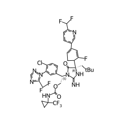 CC(C)(C)C[C@]1(C2CC=C(c3ccc(C(F)F)nc3)C=C2F)NC(=N)N([C@H](COC(=O)NC2(C(F)(F)F)CC2)c2ccc(Cl)c(-n3ncnc3C(F)F)c2)C1=O